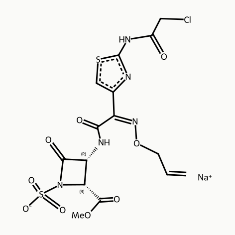 C=CCON=C(C(=O)N[C@H]1C(=O)N(S(=O)(=O)[O-])[C@H]1C(=O)OC)c1csc(NC(=O)CCl)n1.[Na+]